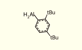 CC(C)(C)c1cc[c]([AlH2])c(C(C)(C)C)c1